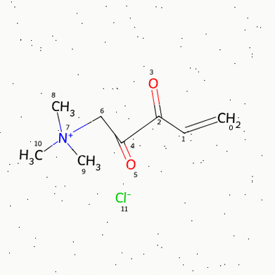 C=CC(=O)C(=O)C[N+](C)(C)C.[Cl-]